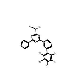 [2H]c1c([2H])c([2H])c(-c2cccc(-c3nc(B(O)O)nc(-c4ccccc4)n3)c2)c([2H])c1[2H]